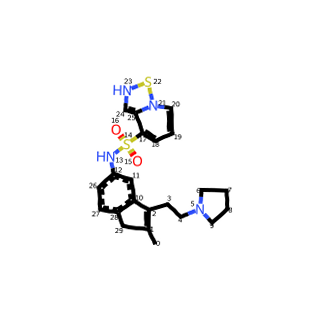 CC1=C(CCN2CCCC2)c2cc(NS(=O)(=O)C3=CC=CN4SNC=C34)ccc2C1